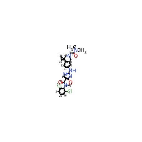 CN(C)C(=O)CN1Cc2cc(Nc3ncc4c(n3)OCN(c3c(Cl)cccc3Cl)C4=O)ccc2C2(CC2)C1